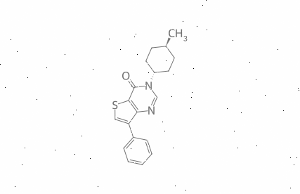 C[C@H]1CC[C@H](n2cnc3c(-c4ccccc4)csc3c2=O)CC1